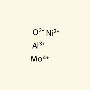 [Al+3].[Mo+4].[Ni+2].[O-2]